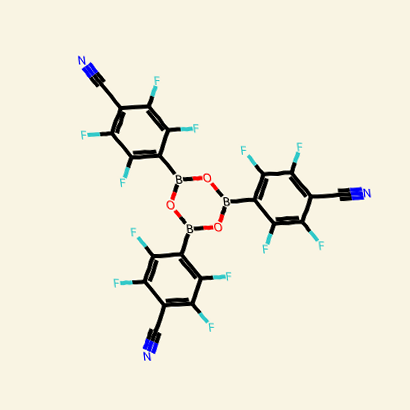 N#Cc1c(F)c(F)c(B2OB(c3c(F)c(F)c(C#N)c(F)c3F)OB(c3c(F)c(F)c(C#N)c(F)c3F)O2)c(F)c1F